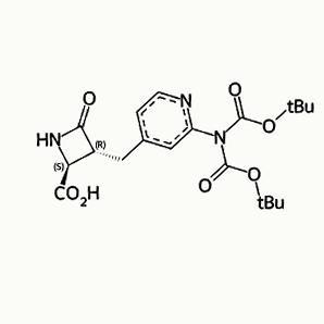 CC(C)(C)OC(=O)N(C(=O)OC(C)(C)C)c1cc(C[C@H]2C(=O)N[C@@H]2C(=O)O)ccn1